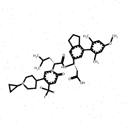 COc1cc(C)c(-c2cc([C@H](CC(=O)O)NC(=O)[C@@H](CC(C)C)n3cc(C4CCN(C5CC5)CC4)c(C(F)(F)F)cc3=O)cc3c2CCC3)c(C)c1